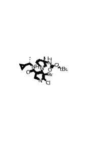 C[C@H](NC(=O)c1cnc(Cl)c(Br)c1N1CC[C@](C)(NC(=O)OC(C)(C)C)C1)C1CC1